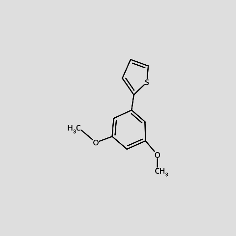 COc1cc(OC)cc(-c2cccs2)c1